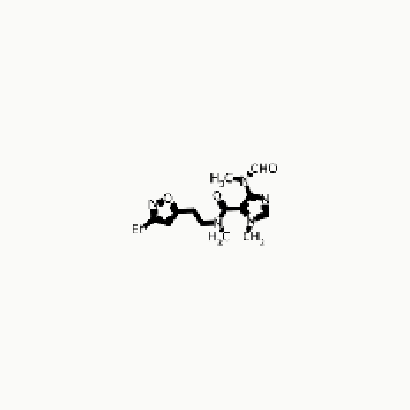 CCc1cc(CCN(C)C(=O)c2c(N(C)C=O)ncn2C)on1